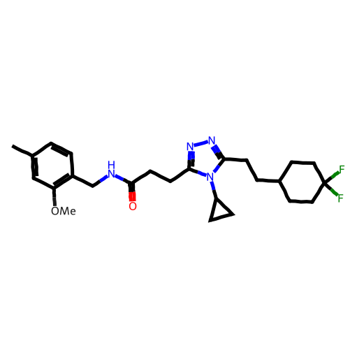 COc1cc(C)ccc1CNC(=O)CCc1nnc(CCC2CCC(F)(F)CC2)n1C1CC1